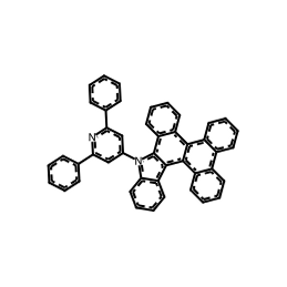 c1ccc(-c2cc(-n3c4ccccc4c4c5c6ccccc6c6ccccc6c5c5ccccc5c43)cc(-c3ccccc3)n2)cc1